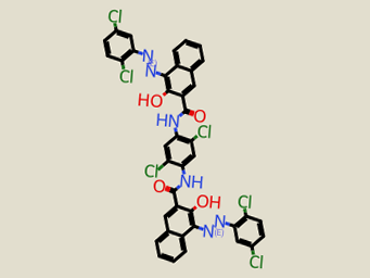 O=C(Nc1cc(Cl)c(NC(=O)c2cc3ccccc3c(/N=N/c3cc(Cl)ccc3Cl)c2O)cc1Cl)c1cc2ccccc2c(/N=N/c2cc(Cl)ccc2Cl)c1O